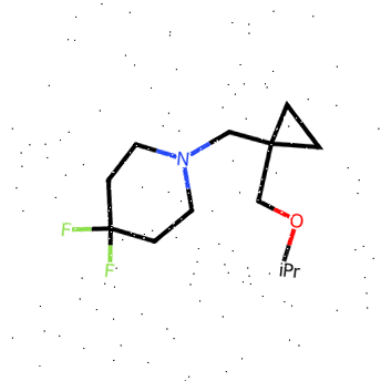 CC(C)OCC1(CN2CCC(F)(F)CC2)CC1